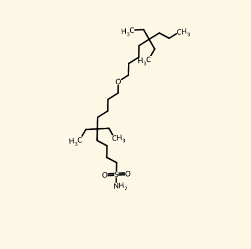 CCCC(CC)(CC)CCCCOCCCCC(CC)(CC)CCCCS(N)(=O)=O